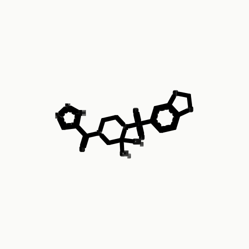 CC1(C)CN(C(=O)c2cnn[nH]2)CCN1S(=O)(=O)c1ccc2c(c1)OCO2